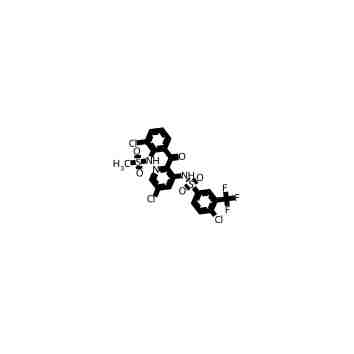 CS(=O)(=O)Nc1c(Cl)cccc1C(=O)c1ncc(Cl)cc1NS(=O)(=O)c1ccc(Cl)c(C(F)(F)F)c1